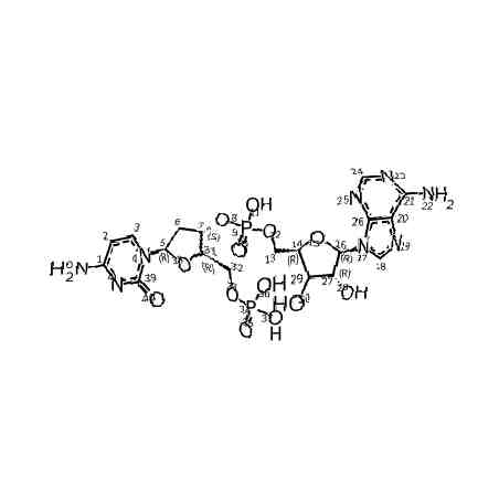 Nc1ccn([C@H]2C[C@H](OP(=O)(O)OC[C@H]3O[C@@H](n4cnc5c(N)ncnc54)[C@H](O)C3O)[C@@H](COP(=O)(O)O)O2)c(=O)n1